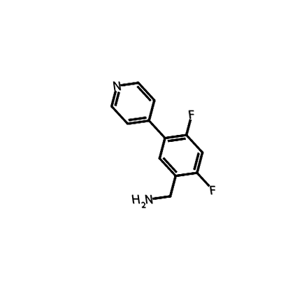 NCc1cc(-c2ccncc2)c(F)cc1F